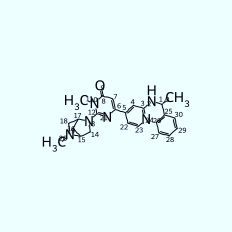 C[C@H](Nc1cc(-c2cc(=O)n(C)c(N3CC4CC3CN4C)n2)ccn1)c1ccccc1